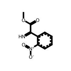 COC(=O)C(=N)c1ccccc1[N+](=O)[O-]